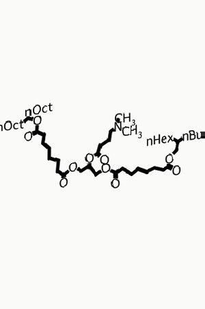 CCCCCCCCC(CCCCCCCC)OC(=O)CCCCCCC(=O)OCC(COC(=O)CCCCCCC(=O)OCC(CCCC)CCCCCC)OC(=O)CCCN(C)C